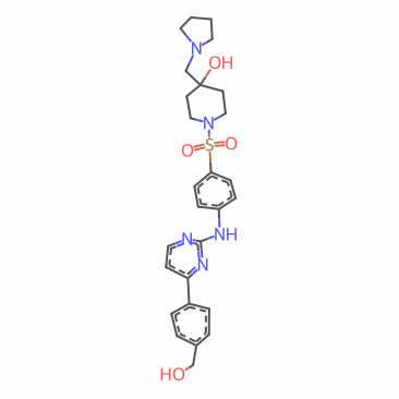 O=S(=O)(c1ccc(Nc2nccc(-c3ccc(CO)cc3)n2)cc1)N1CCC(O)(CN2CCCC2)CC1